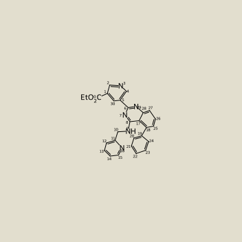 CCOC(=O)c1cncc(-c2nc(NCc3ccccn3)c3c(-c4ccccc4)cccc3n2)c1